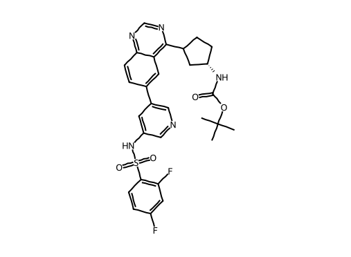 CC(C)(C)OC(=O)N[C@H]1CCC(c2ncnc3ccc(-c4cncc(NS(=O)(=O)c5ccc(F)cc5F)c4)cc23)C1